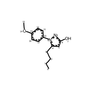 CCCCc1cc(O)nn1-c1ccc(OC)cc1